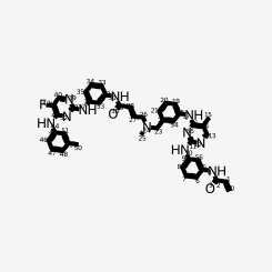 C=CC(=O)Nc1cccc(Nc2ncc(C)c(Nc3cccc(CN(C)C/C=C/C(=O)Nc4cccc(Nc5ncc(F)c(Nc6cccc(C)c6)n5)c4)c3)n2)c1